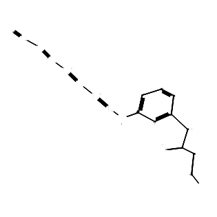 B=BB=BB=BB=BOc1cccc(CC(O)CCC)c1